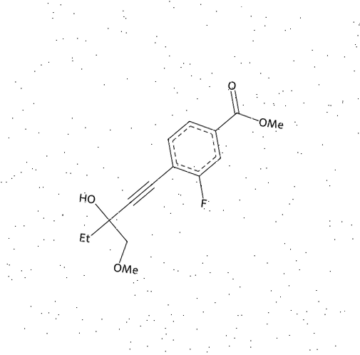 CCC(O)(C#Cc1ccc(C(=O)OC)cc1F)COC